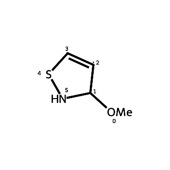 COC1[C]=CSN1